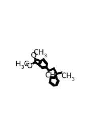 CCC(CC(C)c1ccc2c(c1)C(OC)C2OC)c1ccccc1